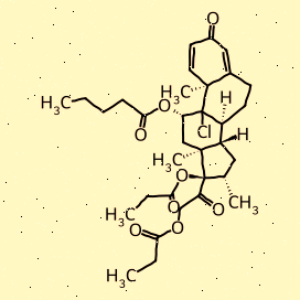 CCCCC(=O)O[C@H]1C[C@@]2(C)[C@@H](C[C@H](C)[C@]2(OC(=O)CC)C(=O)COC(=O)CC)[C@@H]2CCC3=CC(=O)C=C[C@]3(C)C12Cl